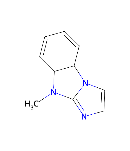 CN1c2nccn2C2C=CC=CC21